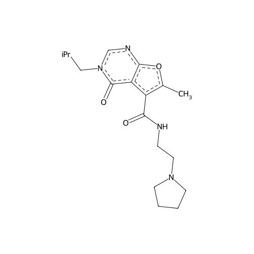 Cc1oc2ncn(CC(C)C)c(=O)c2c1C(=O)NCCN1CCCC1